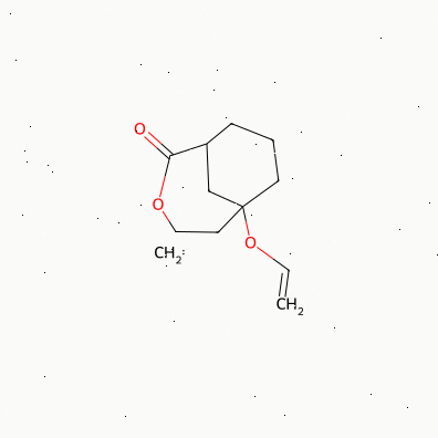 C=COC12CCCC(C1)C(=O)OCC2.[CH2]